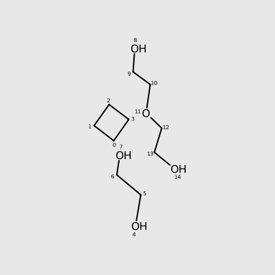 C1CCC1.OCCO.OCCOCCO